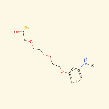 CC(C)Nc1cccc(OCCOCCCOCC(=O)S)c1